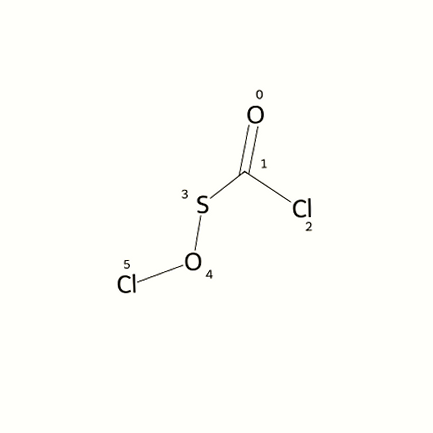 O=C(Cl)SOCl